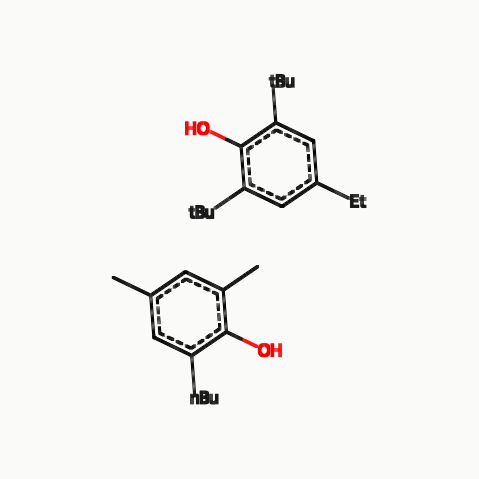 CCCCc1cc(C)cc(C)c1O.CCc1cc(C(C)(C)C)c(O)c(C(C)(C)C)c1